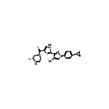 C[C@H]1CN(C(=O)c2coc(-c3nn(-c4ccc(C5CC5)cc4)cc3C#N)n2)CCN1.Cl